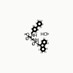 COC(=O)[C@H](CNC(=O)OCC1c2ccccc2-c2ccccc21)NCc1ccc(-c2ccccc2)cc1.Cl